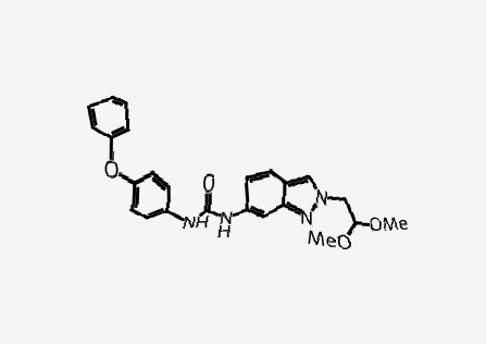 COC(Cn1cc2ccc(NC(=O)Nc3ccc(Oc4ccccc4)cc3)cc2n1)OC